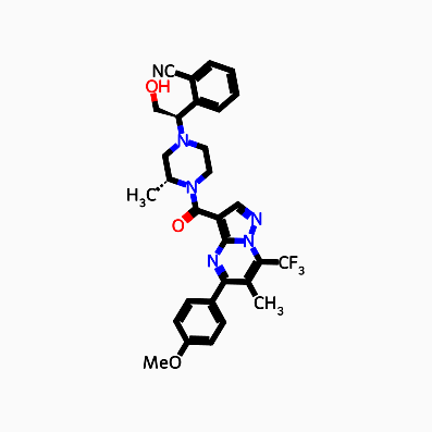 COc1ccc(-c2nc3c(C(=O)N4CCN([C@@H](CO)c5ccccc5C#N)C[C@H]4C)cnn3c(C(F)(F)F)c2C)cc1